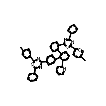 Cc1ccc(-c2nc(-c3ccccc3)nc(-c3ccc(-c4c(-c5ccccn5)cccc4-c4ccccc4-c4nc(-c5ccccc5)nc(-c5ccc(C)cc5)n4)cc3)n2)cc1